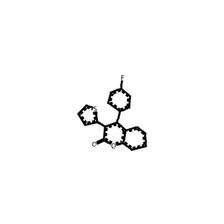 O=c1oc2ccccc2c(-c2ccc(F)cc2)c1-c1cccs1